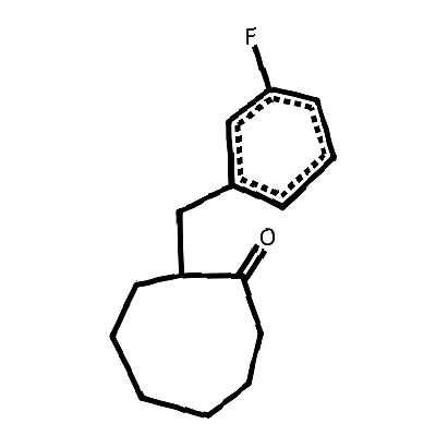 O=C1CCCCCCC1Cc1cccc(F)c1